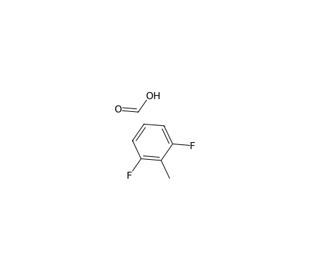 Cc1c(F)cccc1F.O=CO